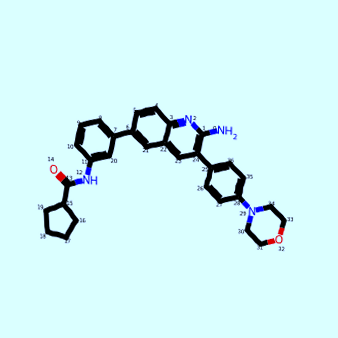 Nc1nc2ccc(-c3cccc(NC(=O)C4CCCC4)c3)cc2cc1-c1ccc(N2CCOCC2)cc1